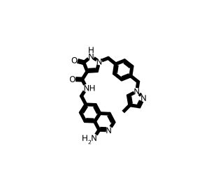 Cc1cnn(Cc2ccc(Cn3cc(C(=O)NCc4ccc5c(N)nccc5c4)c(=O)[nH]3)cc2)c1